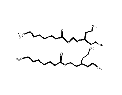 CCCCCCCC(=O)OCCC(CCC)CCC.CCCCCCCC(=O)OCCC(CCC)CCC